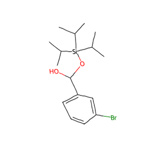 CC(C)[Si](OC(O)c1cccc(Br)c1)(C(C)C)C(C)C